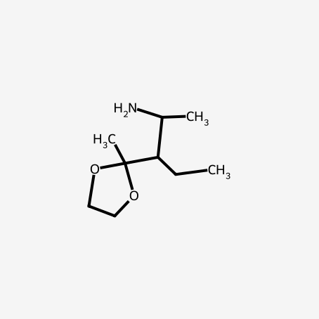 CCC(C(C)N)C1(C)OCCO1